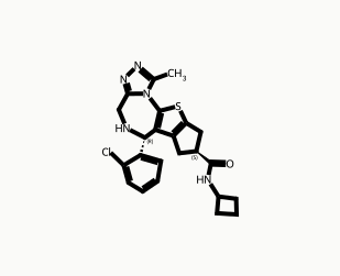 Cc1nnc2n1-c1sc3c(c1[C@H](c1ccccc1Cl)NC2)C[C@H](C(=O)NC1CCC1)C3